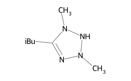 CCC(C)C1=NN(C)NN1C